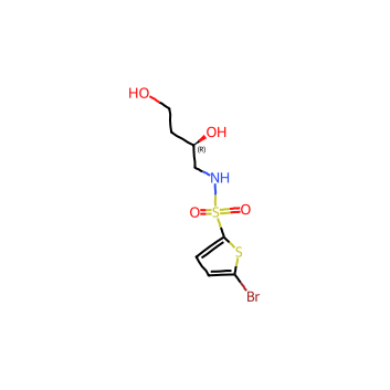 O=S(=O)(NC[C@H](O)CCO)c1ccc(Br)s1